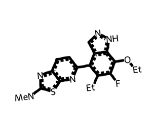 CCOc1c(F)c(CC)c(-c2ccc3nc(NC)sc3n2)c2cn[nH]c12